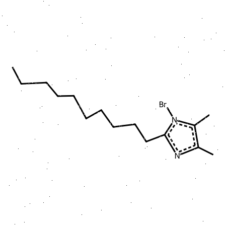 CCCCCCCCCCc1nc(C)c(C)n1Br